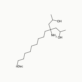 CCCCCCCCCCCCCCCCCCCC(N)(CC(C)O)CC(C)O